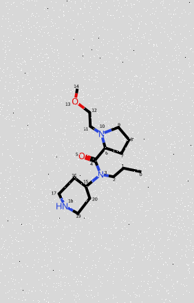 CCCN(C(=O)C1CCCN1CCOC)C1CCNCC1